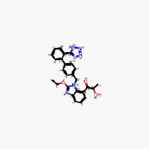 CCOc1nc2cccc(C(=O)C(C)O)c2n1Cc1ccc(-c2ccccc2-c2nnn[nH]2)cc1